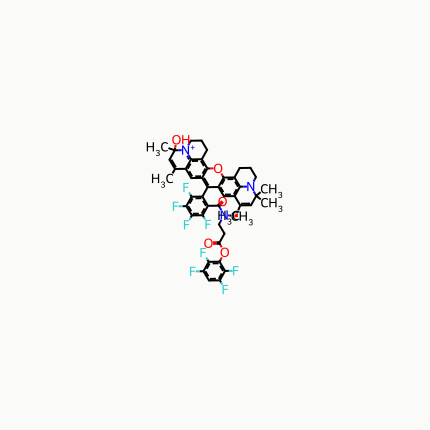 CC1=CC(C)(C)N2CCCc3c4c(cc1c32)C(c1c(F)c(F)c(F)c(F)c1C(=O)N(C)CCC(=O)Oc1c(F)c(F)cc(F)c1F)=c1cc2c3c(c1O4)CCC[N+]=3C(C)(O)C=C2C